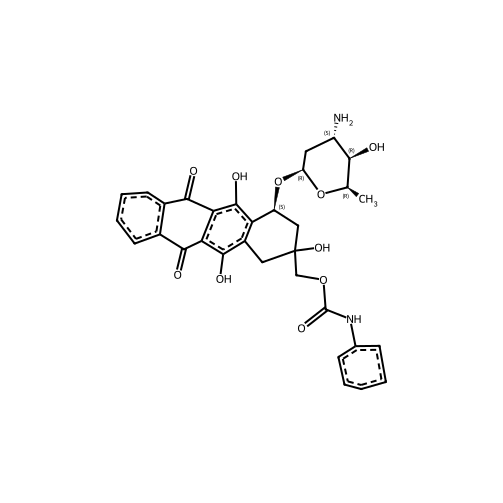 C[C@H]1O[C@@H](O[C@H]2CC(O)(COC(=O)Nc3ccccc3)Cc3c(O)c4c(c(O)c32)C(=O)c2ccccc2C4=O)C[C@H](N)[C@H]1O